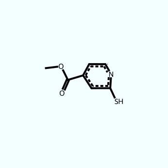 COC(=O)c1c[c]nc(S)c1